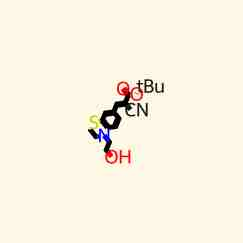 CC(C)(C)OC(=O)/C(C#N)=C/c1ccc2c(c1)SCCN2CCO